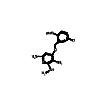 COc1ccc(Cl)cc1COc1cc(N)nc(NN)c1N